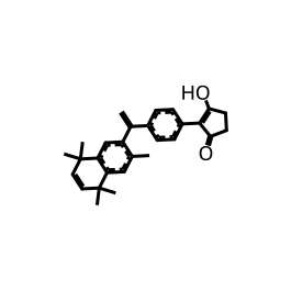 C=C(c1ccc(C2=C(O)CCC2=O)cc1)c1cc2c(cc1C)C(C)(C)C=CC2(C)C